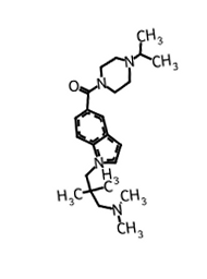 CC(C)N1CCN(C(=O)c2ccc3c(ccn3CC(C)(C)CN(C)C)c2)CC1